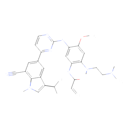 C=CC(O)Nc1cc(Nc2nccc(-c3cc(C#N)c4c(c3)c(C(C)C)cn4C)n2)c(OC)cc1N(C)CCN(C)C